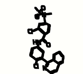 CN(c1ccc(C(=O)Nc2ccc(Cl)c(-c3nccc4ccccc34)c2)c(Cl)c1)S(C)(=O)=O